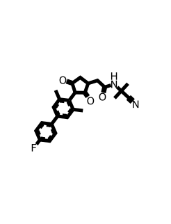 Cc1cc(-c2ccc(F)cc2)cc(C)c1C1C(=O)CC(CC(=O)NC(C)(C)C#N)C1=O